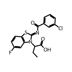 CCC(C(=O)O)n1c(=NC(=O)c2cccc(Cl)c2)sc2ccc(F)cc21